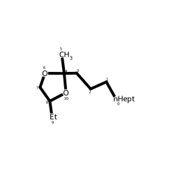 CCCCCCCCCCC1(C)OCC(CC)O1